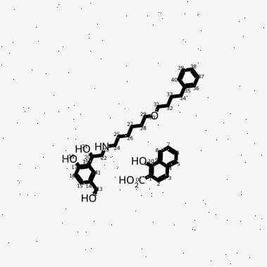 O=C(O)c1ccc2ccccc2c1O.OCc1ccc(O)c(C(O)CNCCCCCCOCCCCc2ccccc2)c1